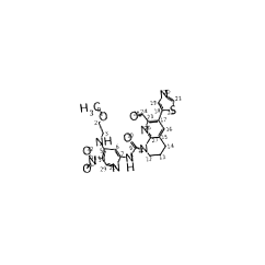 COCCNc1cc(NC(=O)N2CCCc3cc(-c4cncs4)c(C=O)nc32)ncc1[N+](=O)[O-]